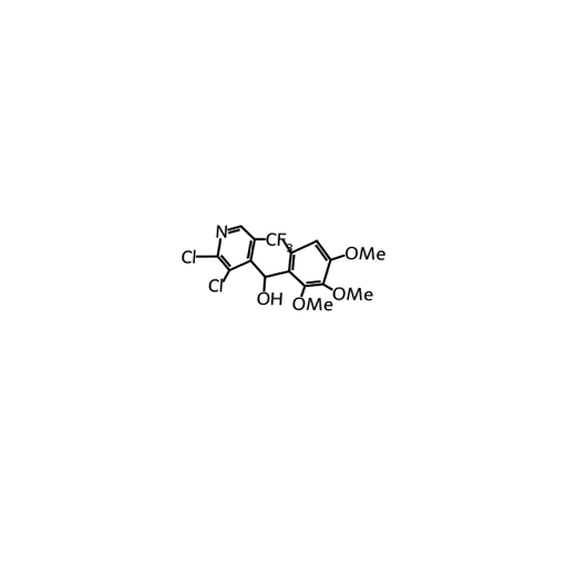 COc1cc(C)c(C(O)c2c(C(F)(F)F)cnc(Cl)c2Cl)c(OC)c1OC